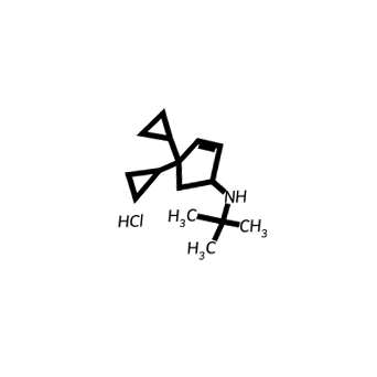 CC(C)(C)NC1C=CC(C2CC2)(C2CC2)C1.Cl